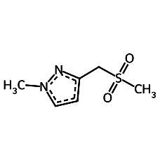 Cn1ccc(CS(C)(=O)=O)n1